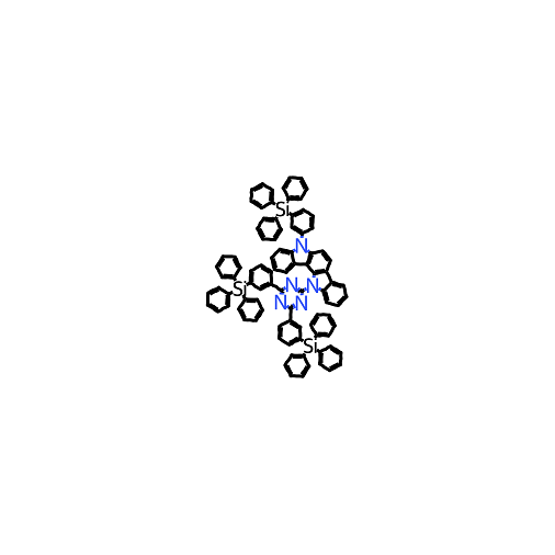 c1ccc([Si](c2ccccc2)(c2ccccc2)c2cccc(-c3nc(-c4cccc([Si](c5ccccc5)(c5ccccc5)c5ccccc5)c4)nc(-n4c5ccccc5c5ccc6c(c7ccccc7n6-c6cccc([Si](c7ccccc7)(c7ccccc7)c7ccccc7)c6)c54)n3)c2)cc1